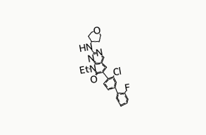 CCn1c(=O)c(-c2ccc(-c3ccccc3F)cc2Cl)cc2cnc(NC3CCOCC3)nc21